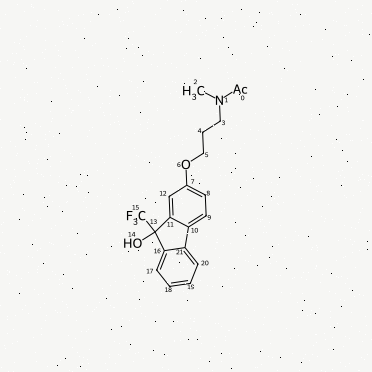 CC(=O)N(C)CCCOc1ccc2c(c1)C(O)(C(F)(F)F)c1ccccc1-2